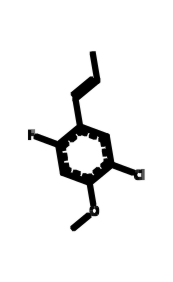 C/C=C/c1cc(Cl)c(OC)cc1F